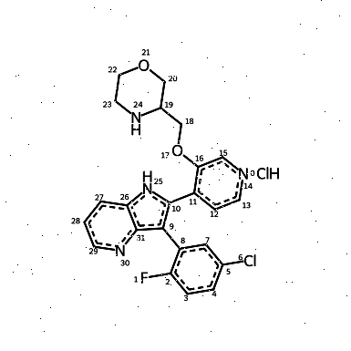 Cl.Fc1ccc(Cl)cc1-c1c(-c2ccncc2OCC2COCCN2)[nH]c2cccnc12